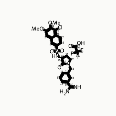 COc1cc2cc(S(=O)(=O)N[C@H]3CCN(Cc4cccc(C(=N)N)c4)C3=O)ccc2c(Cl)c1OC.O=C(O)C(F)(F)F